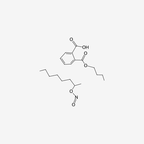 CCCCCCC(C)ON=O.CCCCOC(=O)c1ccccc1C(=O)O